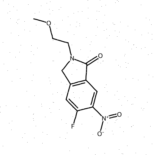 COCCN1Cc2cc(F)c([N+](=O)[O-])cc2C1=O